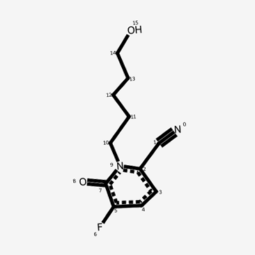 N#Cc1ccc(F)c(=O)n1CCCCCO